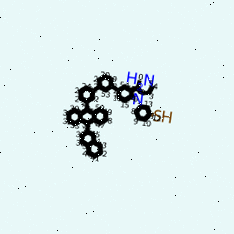 Cc1c(/C=C\N)n(-c2cccc(S)c2)c2ccc(-c3cccc(-c4cccc(-c5c6ccccc6c(-c6ccc7ccccc7c6)c6ccccc56)c4)c3)cc12